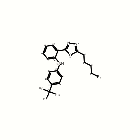 FCCCCc1nnc(-c2ccccc2Nc2ccc(C(F)(F)F)cc2)o1